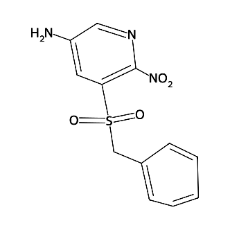 Nc1cnc([N+](=O)[O-])c(S(=O)(=O)Cc2ccccc2)c1